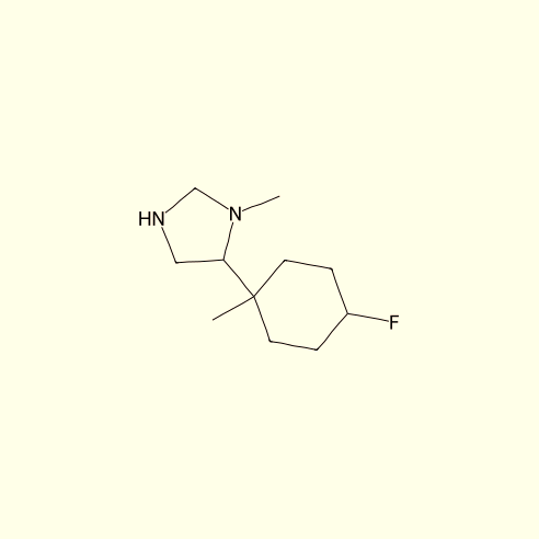 CN1CNCC1C1(C)CCC(F)CC1